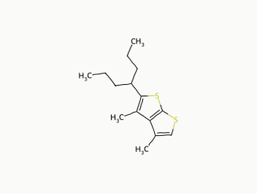 CCCC(CCC)c1sc2scc(C)c2c1C